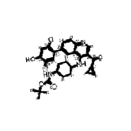 CC(C)(C)OC(=O)NC1CCC(Nc2c(C(=O)C3CC3)cnc3ccc(-c4cc(Cl)c(O)cc4Cl)cc23)CC1